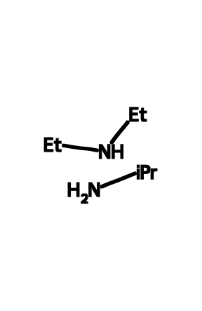 CC(C)N.CCNCC